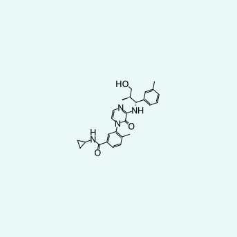 Cc1cccc([C@H](Nc2nccn(-c3cc(C(=O)NC4CC4)ccc3C)c2=O)[C@@H](C)CO)c1